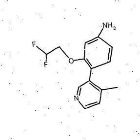 Cc1ccncc1-c1ccc(N)cc1OCC(F)F